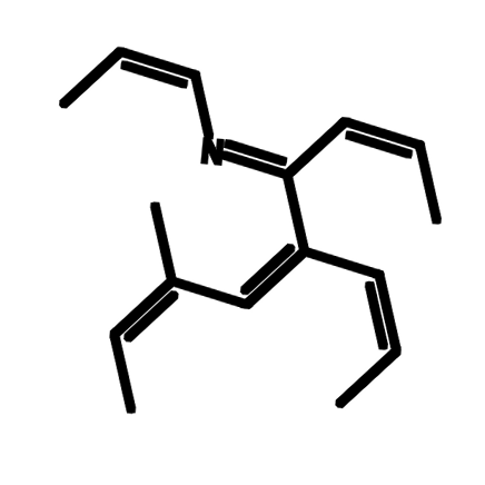 C\C=C/N=C(\C=C/C)C(/C=C\C)=C\C(C)=C/C